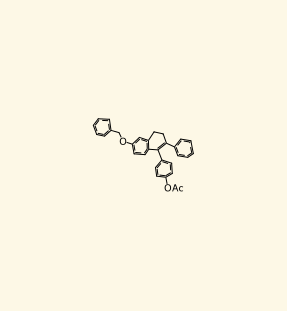 CC(=O)Oc1ccc(C2=C(c3ccccc3)CCc3cc(OCc4ccccc4)ccc32)cc1